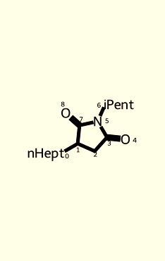 CCCCCCCC1CC(=O)N(C(C)CCC)C1=O